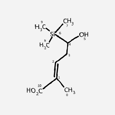 CC(=CCC(O)[Si](C)(C)C)C(=O)O